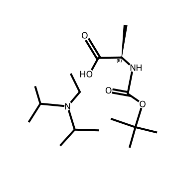 CCN(C(C)C)C(C)C.C[C@@H](NC(=O)OC(C)(C)C)C(=O)O